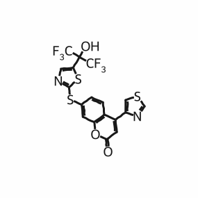 O=c1cc(-c2cscn2)c2ccc(Sc3ncc(C(O)(C(F)(F)F)C(F)(F)F)s3)cc2o1